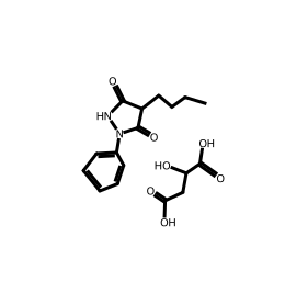 CCCCC1C(=O)NN(c2ccccc2)C1=O.O=C(O)CC(O)C(=O)O